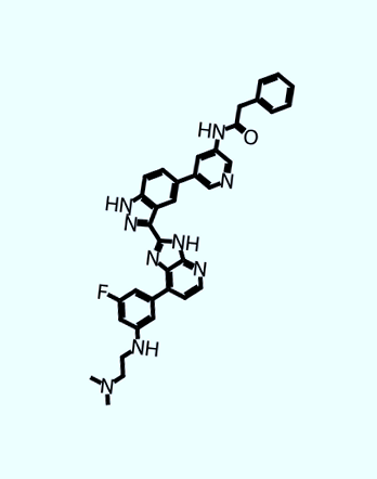 CN(C)CCNc1cc(F)cc(-c2ccnc3[nH]c(-c4n[nH]c5ccc(-c6cncc(NC(=O)Cc7ccccc7)c6)cc45)nc23)c1